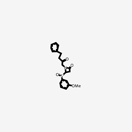 COc1cccc([S+]([O-])C2CC(=O)N2CC(=O)CCc2ccccc2)c1